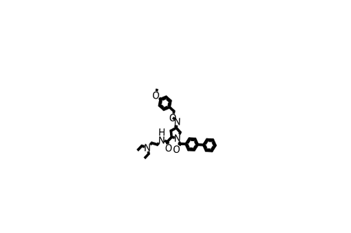 CCN(CC)CCNC(=O)C1C/C(=N\OCc2ccc(OC)cc2)CN1C(=O)c1ccc(-c2ccccc2)cc1